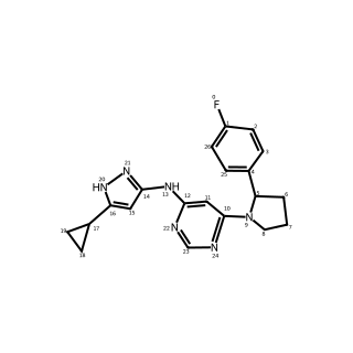 Fc1ccc(C2CCCN2c2cc(Nc3cc(C4CC4)[nH]n3)ncn2)cc1